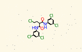 O=C(Nc1cc(Cl)cc(Cl)c1)C(CCCl)C(=O)Nc1cc(Cl)cc(Cl)c1